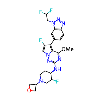 COc1nc(N[C@@H]2CCN(C3COC3)C[C@@H]2F)nn2cc(F)c(-c3ccc4nnn(CC(F)F)c4c3)c12